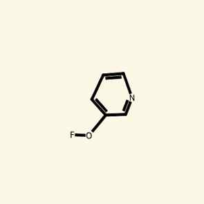 FOc1cccnc1